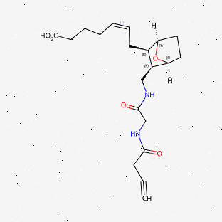 C#CCC(=O)NCC(=O)NC[C@H]1[C@@H](C/C=C\CCCC(=O)O)[C@H]2CC[C@@H]1O2